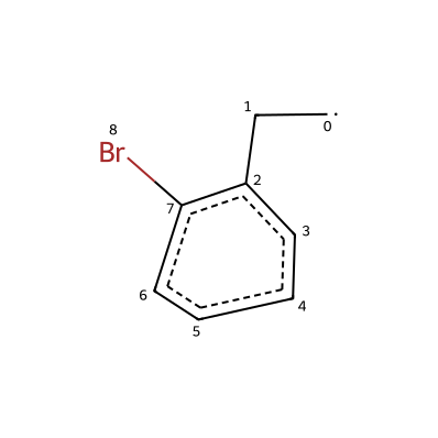 [CH2]Cc1ccccc1Br